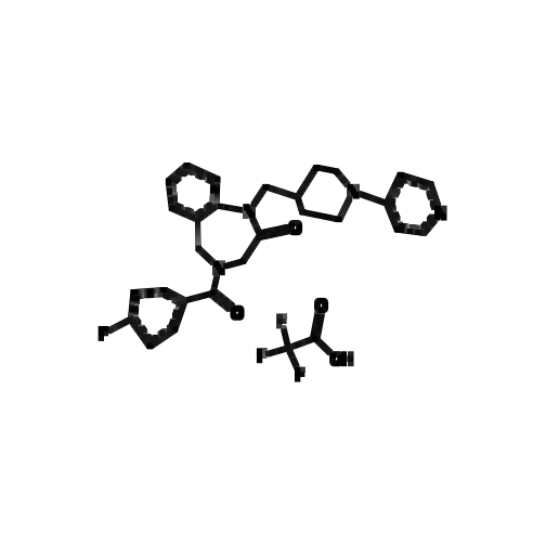 O=C(O)C(F)(F)F.O=C(c1ccc(F)cc1)N1CC(=O)N(CC2CCN(c3ccncc3)CC2)c2ccccc2C1